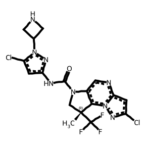 C[C@@]1(C(F)(F)F)CN(C(=O)Nc2cc(Cl)n(C3CNC3)n2)c2cnc3cc(Cl)nn3c21